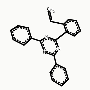 C=Cc1ccccc1-c1nc(-c2ccccc2)nc(-c2ccccc2)n1